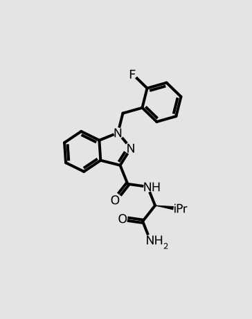 CC(C)[C@H](NC(=O)c1nn(Cc2ccccc2F)c2ccccc12)C(N)=O